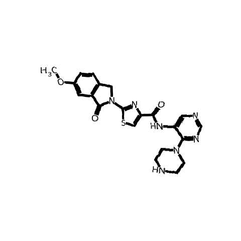 COc1ccc2c(c1)C(=O)N(c1nc(C(=O)Nc3cncnc3N3CCNCC3)cs1)C2